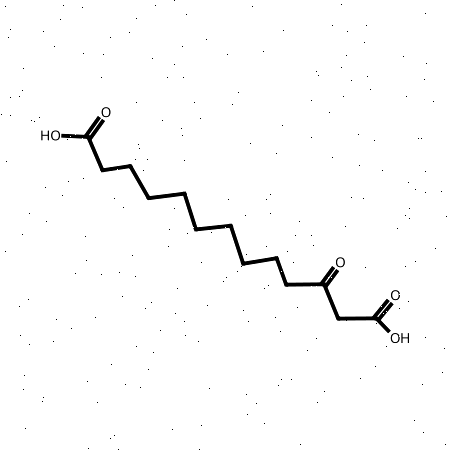 O=C(O)CCCCCCCCCC(=O)CC(=O)O